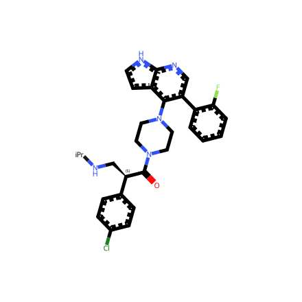 CC(C)NC[C@@H](C(=O)N1CCN(c2c(-c3ccccc3F)cnc3[nH]ccc23)CC1)c1ccc(Cl)cc1